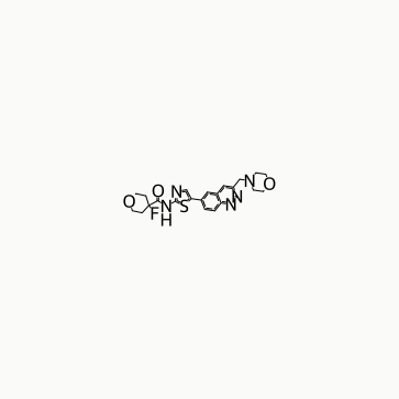 O=C(Nc1ncc(-c2ccc3nnc(CN4CCOCC4)cc3c2)s1)C1(F)CCOCC1